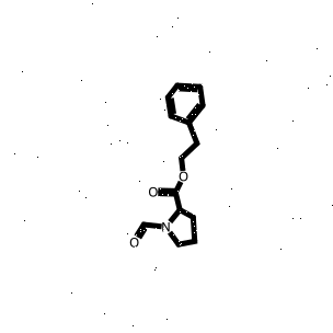 O=CN1CCCC1C(=O)OCCc1ccccc1